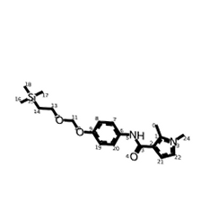 Cc1c(C(=O)Nc2ccc(OCOCC[Si](C)(C)C)cc2)ccn1C